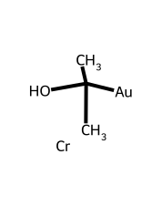 C[C](C)(O)[Au].[Cr]